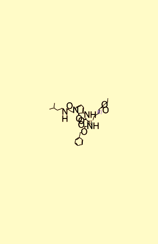 CCOC(=O)/C=C/CC[C@H](NC(=O)OCc1ccccc1)C(=O)Nc1cccn(CC(=O)NCCC(C)C)c1=O